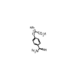 CCC[C@H](Oc1ccc(C(=N)N)cc1)C(=O)O